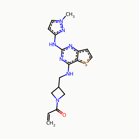 C=CC(=O)N1CC(CNc2nc(Nc3ccn(C)n3)nc3ccsc23)C1